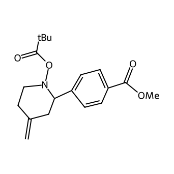 C=C1CCN(OC(=O)C(C)(C)C)C(c2ccc(C(=O)OC)cc2)C1